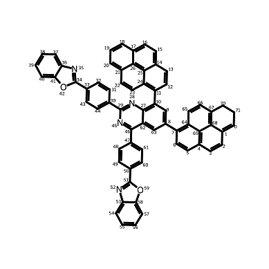 C1=c2ccc3ccc(-c4cc(-c5ccc6ccc7cccc8ccc5c6c78)c5nc(-c6ccc(-c7nc8ccccc8o7)cc6)nc(-c6ccc(-c7nc8ccccc8o7)cc6)c5c4)c4ccc(c2c34)CC1